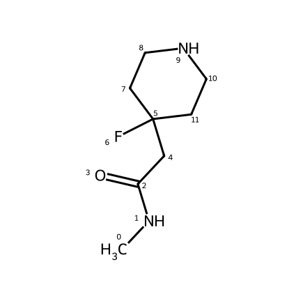 CNC(=O)CC1(F)CCNCC1